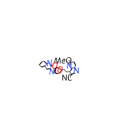 COc1ccc2ncc(C#N)c(CCC34CCC(N(C)c5cc6ccccc6n(C)c5=O)(CC3)CO4)c2n1